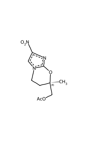 CC(=O)OC[C@@]1(C)CCn2cc([N+](=O)[O-])nc2O1